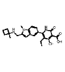 CCc1c(-c2ccc3c(c2)cc(CNC2(C)CCC2)n3C)[nH]c(=O)c(C(=O)O)c1O